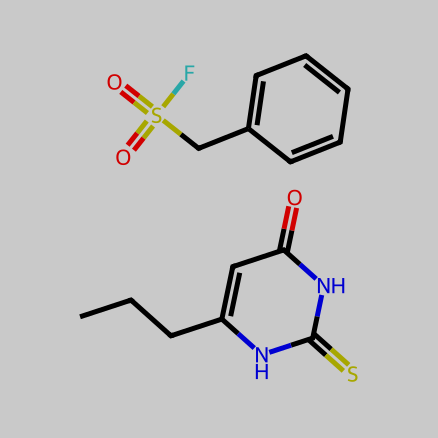 CCCc1cc(=O)[nH]c(=S)[nH]1.O=S(=O)(F)Cc1ccccc1